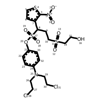 O=[N+]([O-])c1sccc1C(CCS(=O)(=O)CCO)S(=O)(=O)Oc1ccc(N(CCCl)CCCl)cc1